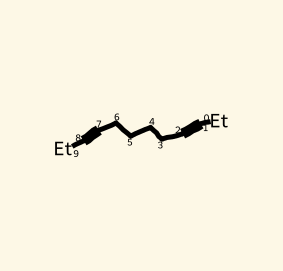 CCC#CCCCCC#CCC